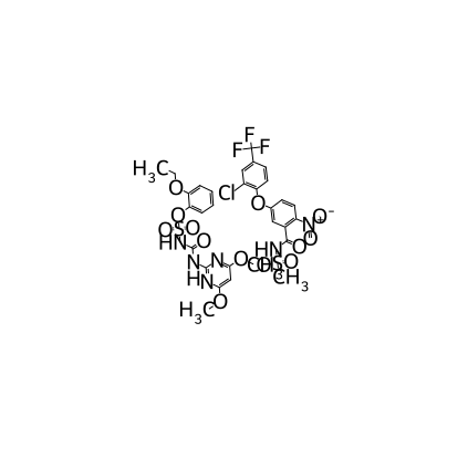 CCOc1ccccc1OS(=O)(=O)NC(=O)Nc1nc(OC)cc(OC)n1.CS(=O)(=O)NC(=O)c1cc(Oc2ccc(C(F)(F)F)cc2Cl)ccc1[N+](=O)[O-]